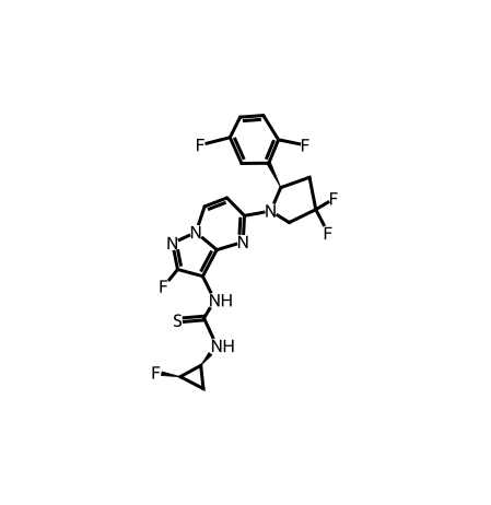 Fc1ccc(F)c([C@H]2CC(F)(F)CN2c2ccn3nc(F)c(NC(=S)N[C@H]4C[C@H]4F)c3n2)c1